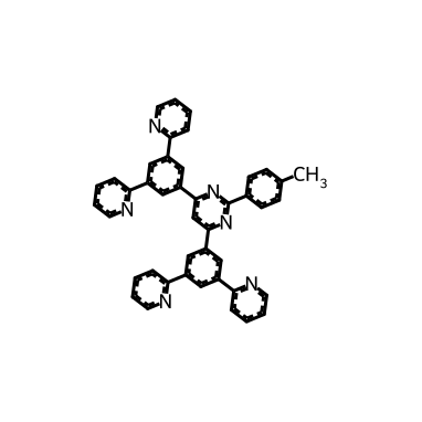 Cc1ccc(-c2nc(-c3cc(-c4ccccn4)cc(-c4ccccn4)c3)cc(-c3cc(-c4ccccn4)cc(-c4ccccn4)c3)n2)cc1